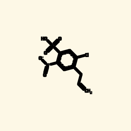 C=CCc1cc([N+](=O)[O-])c(S(=O)(=O)O)cc1Cl